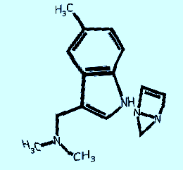 Cc1ccc2[nH]cc(CN(C)C)c2c1.c1cn2n1C2